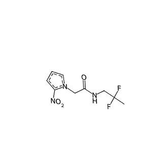 CC(F)(F)CNC(=O)Cn1cccc1[N+](=O)[O-]